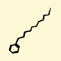 ICCCCCCCCCCc1ccccc1